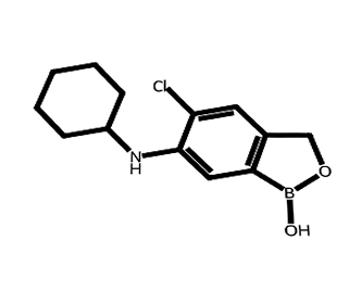 OB1OCc2cc(Cl)c(NC3CCCCC3)cc21